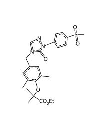 CCOC(=O)C(C)(C)Oc1c(C)cc(Cn2cnn(-c3ccc(S(C)(=O)=O)cc3)c2=O)cc1C